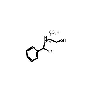 CCC(N[C@@H](CS)C(=O)O)c1ccccc1